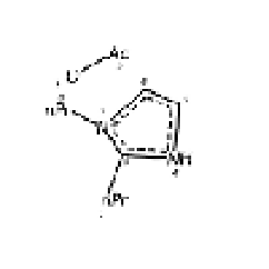 CC(=O)[O-].CCCc1[nH]cc[n+]1CCC